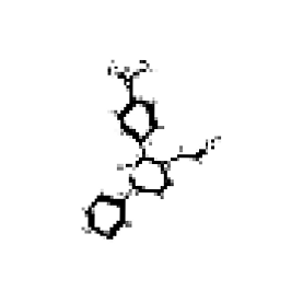 O=CC[C@H]1CC[C@@H](c2ccccc2)O[C@H]1c1ccc([N+](=O)[O-])cc1